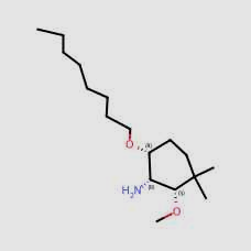 CCCCCCCCO[C@@H]1CCC(C)(C)[C@H](OC)[C@@H]1N